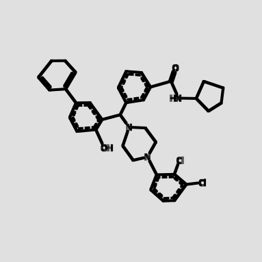 O=C(NC1CCCC1)c1cccc(C(c2cc(C3=CCCC=C3)ccc2O)N2CCN(c3cccc(Cl)c3Cl)CC2)c1